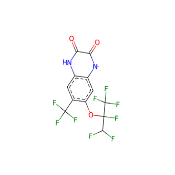 O=C1[N]c2cc(OC(F)(C(F)F)C(F)(F)F)c(C(F)(F)F)cc2NC1=O